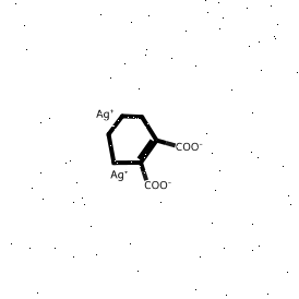 O=C([O-])C1=C(C(=O)[O-])CCCC1.[Ag+].[Ag+]